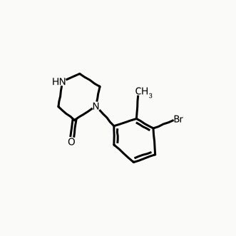 Cc1c(Br)cccc1N1CCNCC1=O